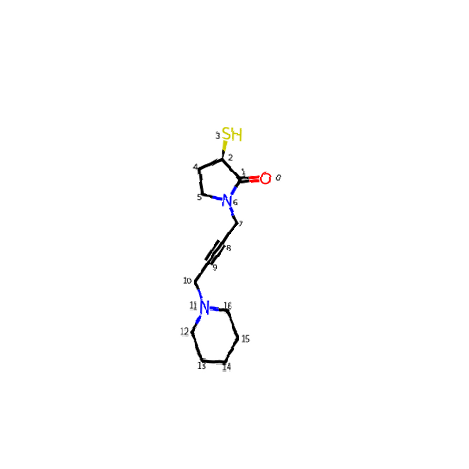 O=C1[C@H](S)CCN1CC#CCN1CCCCC1